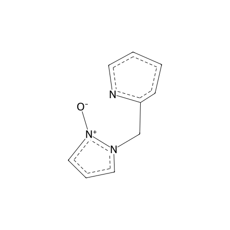 [O-][n+]1cccn1Cc1ccccn1